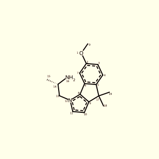 COc1ccc2c(c1)-c1c(ccn1C[C@H](C)N)C2(C)C